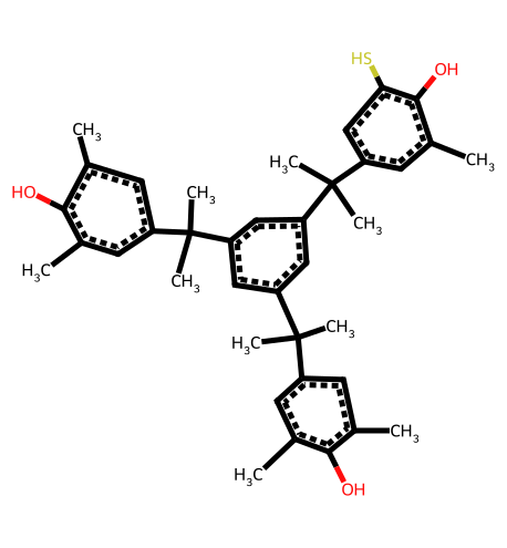 Cc1cc(C(C)(C)c2cc(C(C)(C)c3cc(C)c(O)c(C)c3)cc(C(C)(C)c3cc(C)c(O)c(S)c3)c2)cc(C)c1O